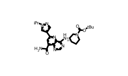 CC(C)n1cc(-c2cc(C(N)=O)c3ncnc(N[C@H]4CCCN(C(=O)OC(C)(C)C)C4)c3n2)cn1